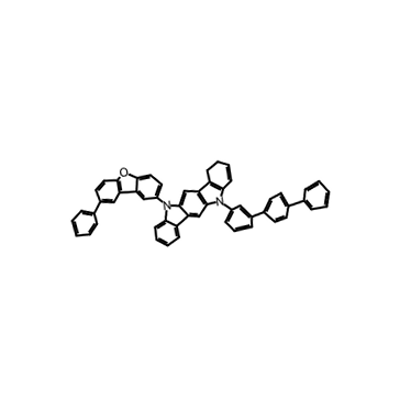 C1=Cc2c(c3cc4c(cc3n2-c2cccc(-c3ccc(-c5ccccc5)cc3)c2)c2ccccc2n4-c2ccc3oc4ccc(-c5ccccc5)cc4c3c2)CC1